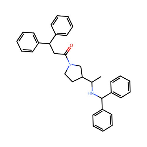 CC(NC(c1ccccc1)c1ccccc1)C1CCN(C(=O)CC(c2ccccc2)c2ccccc2)C1